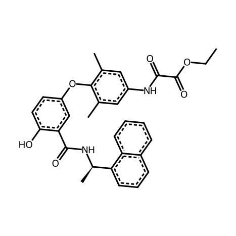 CCOC(=O)C(=O)Nc1cc(C)c(Oc2ccc(O)c(C(=O)N[C@H](C)c3cccc4ccccc34)c2)c(C)c1